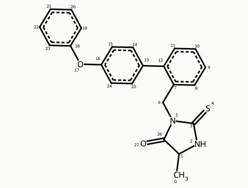 CC1NC(=S)N(Cc2ccccc2-c2ccc(Oc3ccccc3)cc2)C1=O